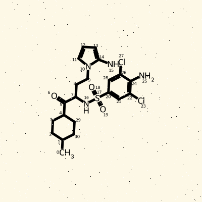 CC1CCC(C(=O)C(CCn2cccc2N)NS(=O)(=O)c2cc(Cl)c(N)c(Cl)c2)CC1